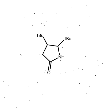 CC(C)(C)C1CC(=O)NC1C(C)(C)C